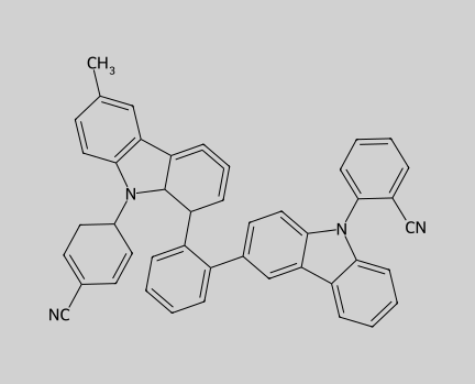 Cc1ccc2c(c1)C1=C=C=CC(c3ccccc3-c3ccc4c(c3)c3ccccc3n4-c3ccccc3C#N)C1N2C1C=CC(C#N)=CC1